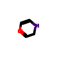 C1=C[IH]CC=[O+]1